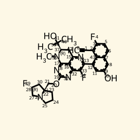 C#Cc1c(F)ccc2cc(O)cc(-c3nc4c5c(nc(OC[C@@]67CCCN6C[C@H](F)C7)nc5c3F)N(C)[C@@H](C(C)(C)O)C4)c12